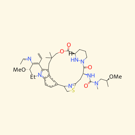 C=C/C(=C(\N=C/C)[C@H](C)OC)c1c2c3cc(ccc3n1CC)C1CSC(=N1)C[C@H](NC(=O)N(C)C[C@H](C)OC)C(=O)N1CCC[C@H](N1)C(=O)OCC(C)(C)C2